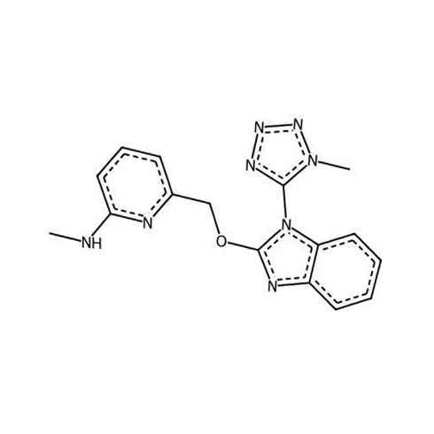 CNc1cccc(COc2nc3ccccc3n2-c2nnnn2C)n1